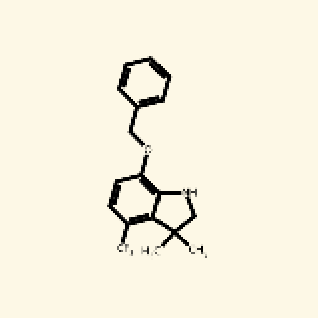 CC1(C)CNc2c(OCc3ccccc3)ccc(C(F)(F)F)c21